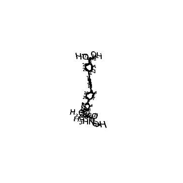 C[C@@](C[C@H]1CC(c2ccc(C#Cc3ccc([C@@H](O)CO)cc3)cc2)=NO1)(C(=O)NO)S(C)(=O)=O